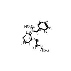 CC(C)(C)OC(=O)N[C@@H]1CNCC[C@H]1N(Cc1ccccc1)C(=O)O